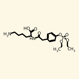 CCOP(=O)(OCC)Oc1ccc(CC(=O)NC(CCCCN)C(=O)O)cc1